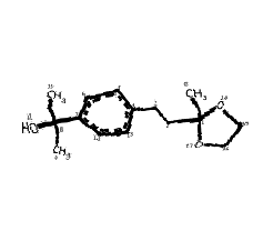 CC1(CCc2ccc(C(C)(C)O)cc2)OCCO1